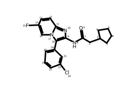 O=C(CC1CCCC1)Nc1nc2ccc(F)cn2c1-c1cccc(Cl)c1